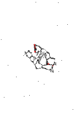 c1cc2c(cn1)cc1n2[Si]2(n3c-1cc1cnccc13)n1c(cc3cnccc31)-c1cc3cnccc3n12